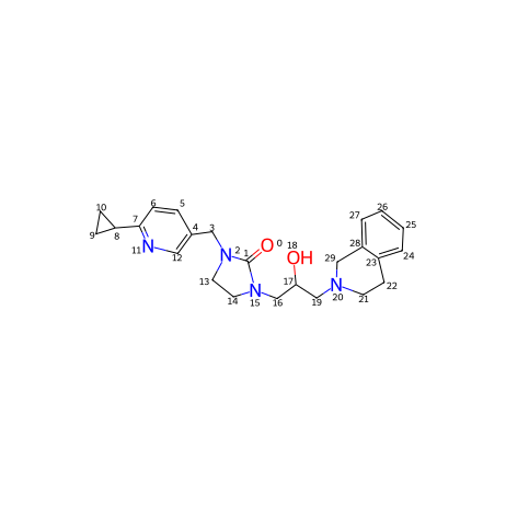 O=C1N(Cc2ccc(C3CC3)nc2)CCN1CC(O)CN1CCc2ccccc2C1